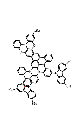 CC(C)(C)c1ccc2c(c1)Oc1cc(-c3cc4c5c(c3)N(c3ccccc3-c3ccccc3)c3cc(-n6c7ccc(C(C)(C)C)cc7c7cc(C(C)(C)C)ccc76)ccc3B5c3ccc(-n5c6ccc(C#N)cc6c6cc(C(C)(C)C)ccc65)cc3N4c3ccccc3-c3ccccc3)cc3c1B2c1ccccc1O3